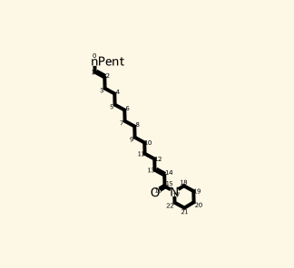 CCCCCC=CCCCCCCCCCCC=CC(=O)N1CCCCC1